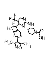 Cc1noc(C)c1-c1ccc2c(-c3nc(N[C@H]4CCCN(C(=O)O)C4)ncc3C(F)(F)F)c[nH]c2n1